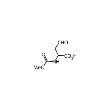 COC(=O)NC(CC=O)C(=O)O